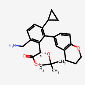 CC(C)(C)O[C@H](C(=O)O)c1c(CN)ccc(C2CC2)c1-c1ccc2c(c1)CCCO2